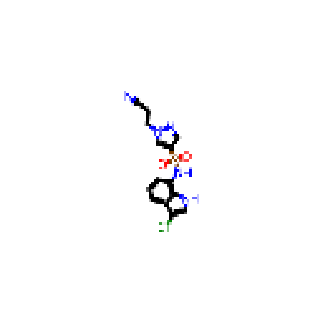 N#CCCn1cc(S(=O)(=O)Nc2cccc3c(Cl)c[nH]c23)cn1